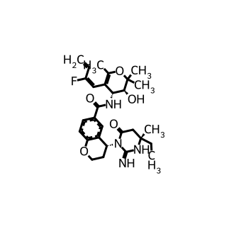 C=C/C(F)=C\C1=C(C)OC(C)(C)[C@@H](O)[C@@H]1NC(=O)c1ccc2c(c1)[C@H](N1C(=N)N[C@@](C)(CC)CC1=O)CCO2